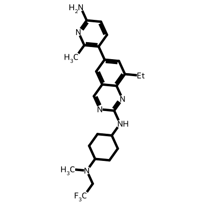 CCc1cc(-c2ccc(N)nc2C)cc2cnc(NC3CCC(N(C)CC(F)(F)F)CC3)nc12